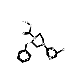 CC(C)(C)OC(=O)N1CCN(c2cncc(Cl)n2)C[C@@H]1Cc1ccccc1